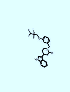 FC1CC(c2c[nH]c3ccccc23)CCN1Cc1cccc(OCC(F)(F)C(F)F)c1